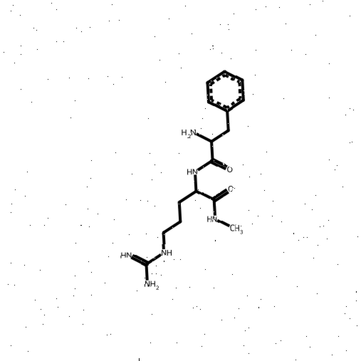 CNC(=O)C(CCCNC(=N)N)NC(=O)C(N)Cc1ccccc1